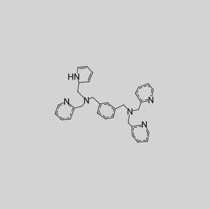 C1=CNC(CN(Cc2cccc(CN(Cc3ccccn3)Cc3ccccn3)c2)Cc2ccccn2)C=C1